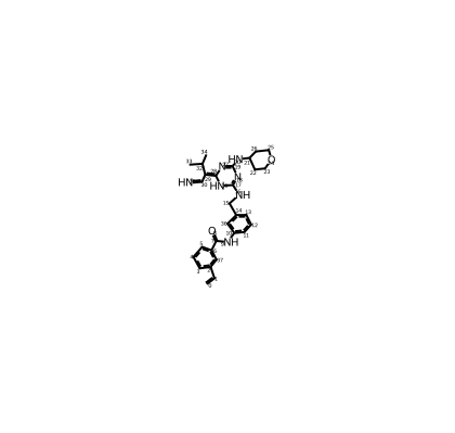 C=Cc1cccc(C(=O)Nc2cccc(CNC3=NC(NC4CCOCC4)=N/C(=C(/C=N)C(C)C)N3)c2)c1